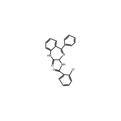 O=C(NC1N=C(c2ccccc2)c2ccccc2NC1=O)c1ccccc1Cl